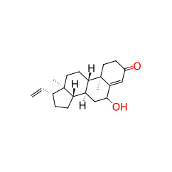 C=C[C@H]1CC[C@H]2[C@@H]3CC(O)C4=CC(=O)CC[C@]4(C)[C@H]3CC[C@]12C